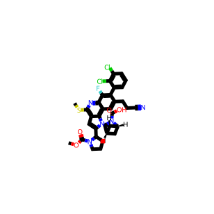 COC(=O)N1CCCC1c1cc2c(SC)nc3c(F)c(-c4cccc(Cl)c4Cl)c(CCC#N)cc3c2n1[C@H]1[C@@H]2C[C@H]1N(C(=O)O)C2